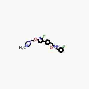 CN1CCN(CCOc2ccc(-c3ccc(CC(=O)NCc4cccc(F)c4)cc3)c(F)n2)CC1